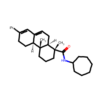 CC(C)C1=CC2=CC[C@@H]3[C@](C)(CCC[C@@]3(C)C(=O)NC3CCCCCC3)[C@H]2CC1